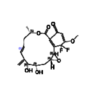 C=C1/C=C/C[C@H](C)OC(=O)C2=C([C@H]3O[C@@H]3C[C@H](O)[C@@H]1O)C(F)(F)C(OC)=CC2=O